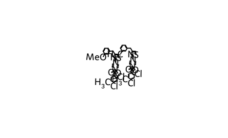 COc1cccc(Cc2csc(N3CCN(S(=O)(=O)c4cc(C)c(Cl)cc4Cl)CC3)n2)c1.Cc1cccc(Cc2csc(N3CCN(S(=O)(=O)c4cc(C)c(Cl)cc4Cl)CC3)n2)c1